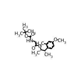 COc1ccc([C@H](C)[C@H](C)OC(=O)CNC(=O)OC(C)(C)C)c(C)c1